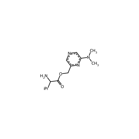 CC(C)C(N)C(=O)OCc1cncc(N(C)C)n1